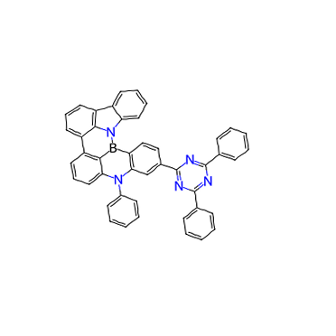 c1ccc(-c2nc(-c3ccccc3)nc(-c3ccc4c(c3)N(c3ccccc3)c3cccc5c3B4n3c4ccccc4c4cccc-5c43)n2)cc1